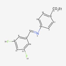 CCOC(=O)c1ccc(/N=C/c2cc(F)cc(F)c2)cc1